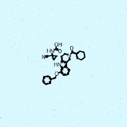 N#CC1(NC(=O)O)CC1.O=C(C1CCCCC1)N1CCc2[nH]c3c(OCc4ccccc4)cccc3c2C1